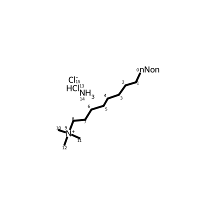 CCCCCCCCCCCCCCCCC[N+](C)(C)C.Cl.N.[Cl-]